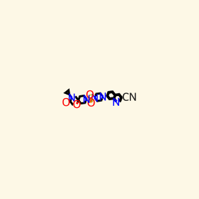 N#Cc1cnc2cc(N3CCN(S(=O)(=O)N4CCC5(CC4)CN(C4CC4)C(=O)CO5)CC3)ccc2c1